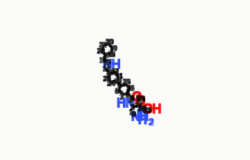 NC[C@H](NC(=O)c1ccc(-c2ccc(CNCC3CCCCC3)cc2)cc1)C(=O)NO